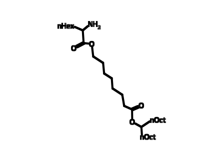 CCCCCCCCC(CCCCCCCC)OC(=O)CCCCCCCOC(=O)C(N)CCCCCC